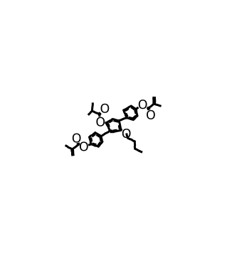 C=C(C)C(=O)Oc1ccc(-c2cc(OC(=O)C(C)C)c(-c3ccc(OC(=O)C(=C)C)cc3)cc2OCCCC)cc1